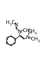 CN=CN(C)C(=CN(C)C)c1ccccc1